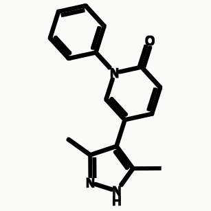 Cc1n[nH]c(C)c1-c1ccc(=O)n(-c2ccccc2)c1